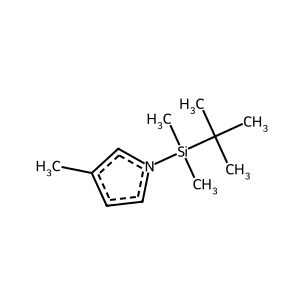 Cc1ccn([Si](C)(C)C(C)(C)C)c1